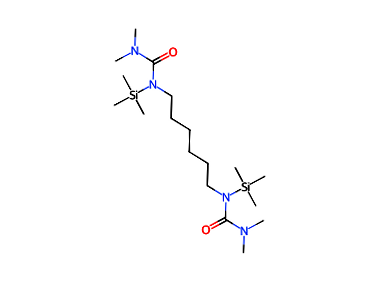 CN(C)C(=O)N(CCCCCCN(C(=O)N(C)C)[Si](C)(C)C)[Si](C)(C)C